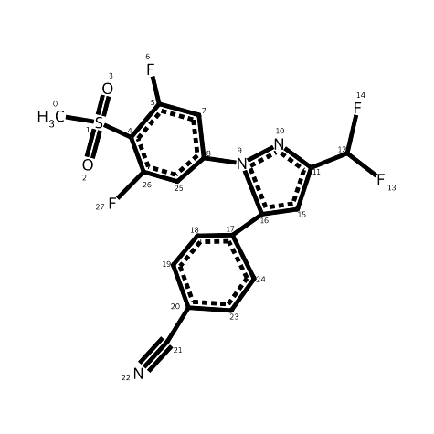 CS(=O)(=O)c1c(F)cc(-n2nc(C(F)F)cc2-c2ccc(C#N)cc2)cc1F